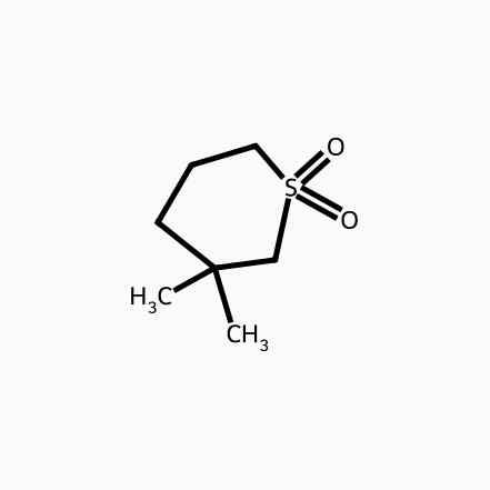 CC1(C)CCCS(=O)(=O)C1